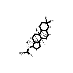 CC(=O)OC1CC[C@H]2[C@@H]3CCC4CC(F)(F)CC[C@]4(C)[C@H]3CC[C@]12C